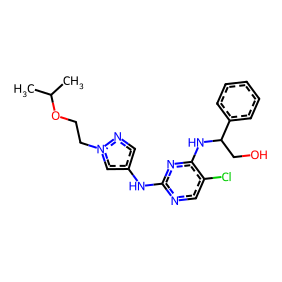 CC(C)OCCn1cc(Nc2ncc(Cl)c(NC(CO)c3ccccc3)n2)cn1